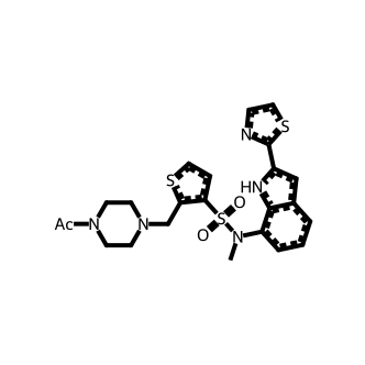 CC(=O)N1CCN(Cc2sccc2S(=O)(=O)N(C)c2cccc3cc(-c4nccs4)[nH]c23)CC1